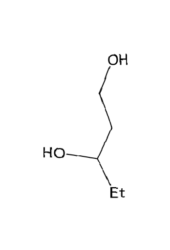 [CH2]CC(O)CCO